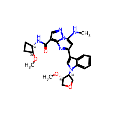 CNc1cc(-c2cn([C@H]3COC[C@@H]3OC)c3ccccc23)nc2c(C(=O)N[C@H]3CC[C@@H]3OC)cnn12